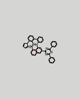 C1=CC(c2cccc3c2B(Nc2ccccc2)N(c2cccc(-c4nc(-c5ccccc5)nc(-c5ccccc5)n4)c2)c2ccccc2-3)C=C1